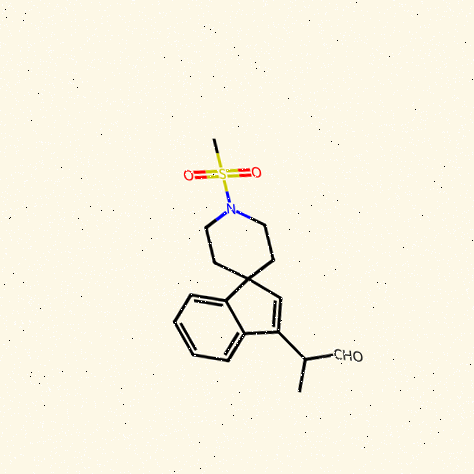 CC(C=O)C1=CC2(CCN(S(C)(=O)=O)CC2)c2ccccc21